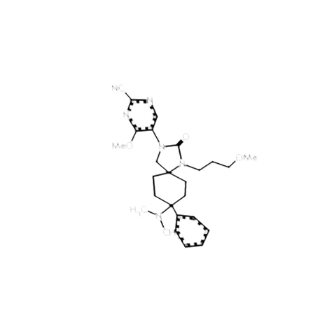 COCCCN1C(=O)N(c2cnc(C#N)nc2OC)CC12CCC(c1ccccc1)(N(C)C)CC2